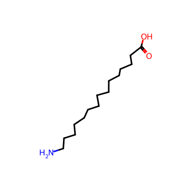 NCCCCCCCCCCCCCCC(=O)O